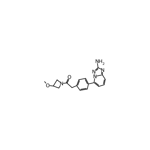 COC1CN(C(=O)Cc2ccc(-c3cccc4nc(N)nn34)cc2)C1